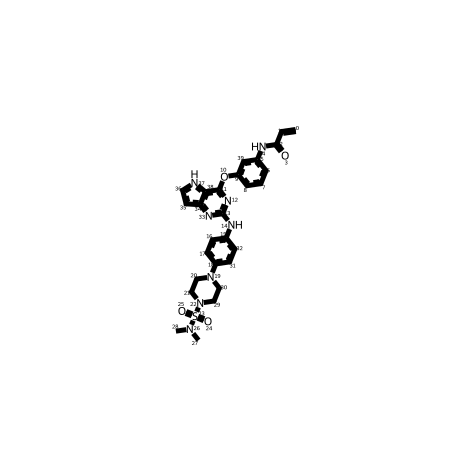 C=CC(=O)Nc1cccc(Oc2nc(Nc3ccc(N4CCN(S(=O)(=O)N(C)C)CC4)cc3)nc3cc[nH]c23)c1